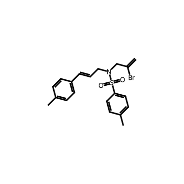 C=C(Br)CN(CC=Cc1ccc(C)cc1)S(=O)(=O)c1ccc(C)cc1